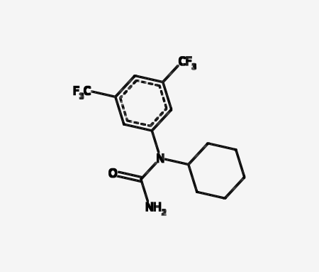 NC(=O)N(c1cc(C(F)(F)F)cc(C(F)(F)F)c1)C1CCCCC1